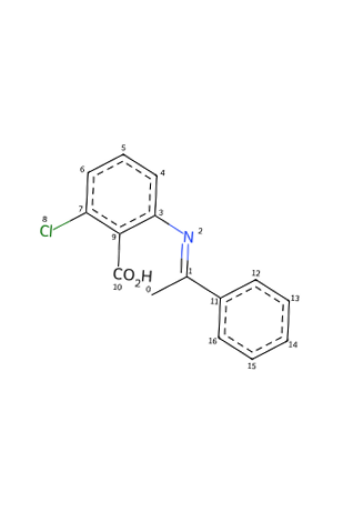 CC(=Nc1cccc(Cl)c1C(=O)O)c1ccccc1